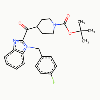 CC(C)(C)OC(=O)N1CCC(C(=O)c2nc3ccccc3n2Cc2ccc(F)cc2)CC1